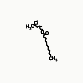 C=C(Cl)CC=C=COC(=O)CCCCCCCCCCC